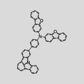 c1ccc2c(c1)oc1cc(N(c3ccc(-c4ccc5c6cccc7c8ccccc8n(c5c4)c76)cc3)c3ccc4c(c3)oc3ccccc34)ccc12